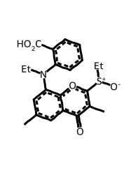 CCN(c1ccccc1C(=O)O)c1cc(C)cc2c(=O)c(C)c([S+]([O-])CC)oc12